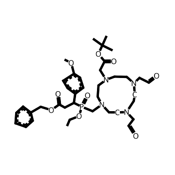 CCOP(=O)(CN1CCN(CC=O)CCN(CC=O)CCN(CC(=O)OC(C)(C)C)CC1)C(CC(=O)OCc1ccccc1)c1ccc(OC)cc1